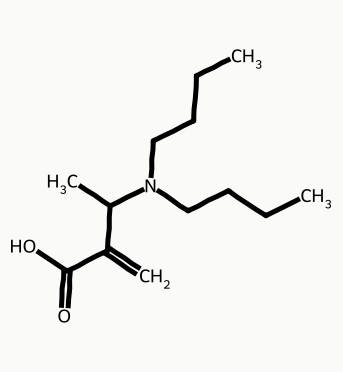 C=C(C(=O)O)C(C)N(CCCC)CCCC